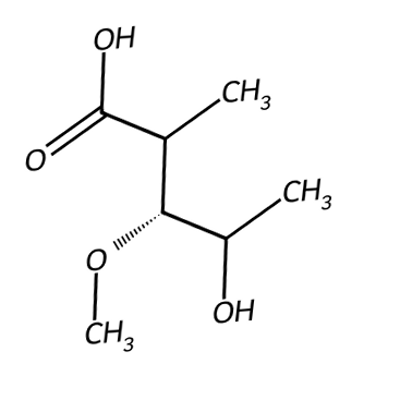 CO[C@@H](C(C)O)C(C)C(=O)O